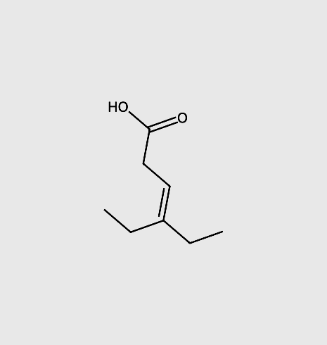 CCC(=CCC(=O)O)CC